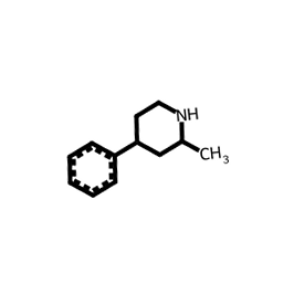 CC1CC(c2ccccc2)CCN1